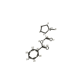 CN1CCC[C@H]1C(=O)OC(=O)c1ccccc1